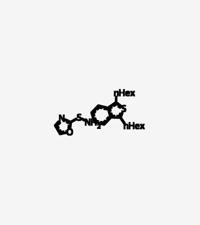 CCCCCCc1sc(CCCCCC)c2ccccc12.NSc1ncco1